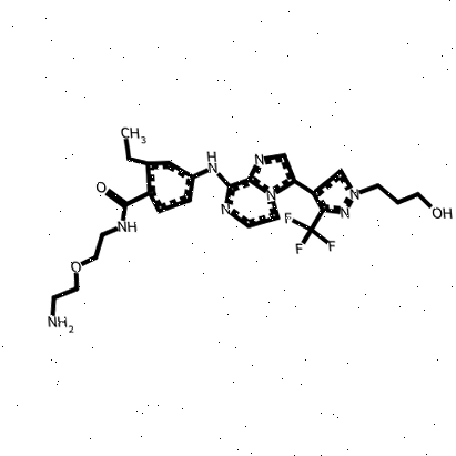 CCc1cc(Nc2nccn3c(-c4cn(CCCO)nc4C(F)(F)F)cnc23)ccc1C(=O)NCCOCCN